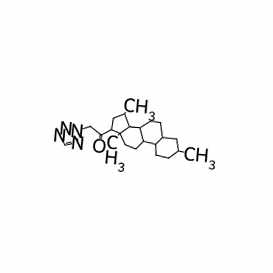 CC1CCC2C(CCC3C2CCC2(C)C(C(=O)Cn4ncnn4)CC(C)C32)C1